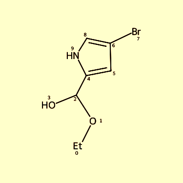 CCOC(O)c1cc(Br)c[nH]1